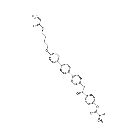 C=CC(=O)OCCCCOc1ccc(-c2ccc(-c3ccc(OC(=O)c4ccc(OC(=O)C(=C)F)cc4)cc3)cc2)cc1